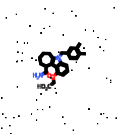 Cc1ccc(Cn2c3c(c4c(OCC(=O)O)cccc42)C(C(N)=O)CCCC3)cc1C